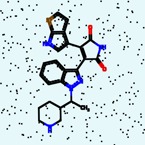 CC(C1CCCNC1)n1nc(C2=C(c3c[nH]c4sccc34)C(=O)NC2=O)c2ccccc21